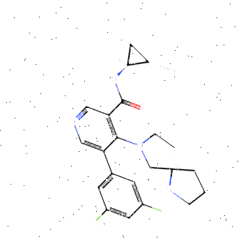 O=C(N[C@H]1C[C@@H]1C(F)(F)F)c1cncc(-c2cc(F)cc(F)c2)c1N1CC[C@@]2(CCCN2)C1